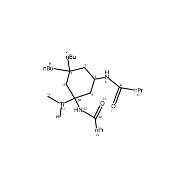 CCCCC1(CCCC)CC(NC(=O)CCC)C[C](NC(=O)CCC)([Ti]([CH3])[CH3])C1